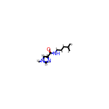 CC(C)CCCNC(=O)c1cn(C)cn1